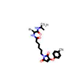 CC(NC(=O)C(NC(=O)CCCCCN1C(=O)C=C(Oc2ccc(C#N)cc2)C1=O)C(C)C)C(=O)O